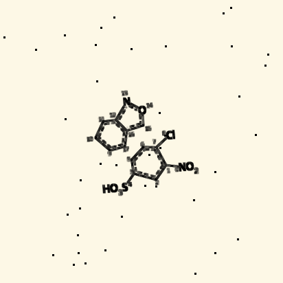 O=[N+]([O-])c1cc(S(=O)(=O)O)ccc1Cl.c1ccc2nocc2c1